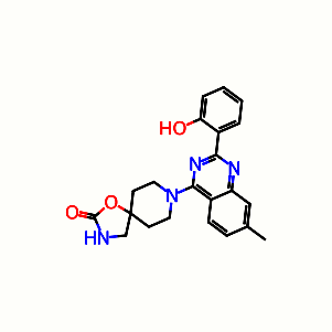 Cc1ccc2c(N3CCC4(CC3)CNC(=O)O4)nc(-c3ccccc3O)nc2c1